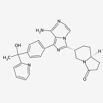 CC(O)(c1ccc(-c2nc([C@@H]3CC[C@H]4CCC(=O)N4C3)n3ccnc(N)c23)cc1)c1ccccn1